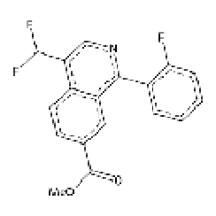 COC(=O)c1ccc2c(C(F)F)cnc(-c3ccccc3F)c2c1